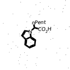 CCCCCC(C(=O)O)n1ccc2ccccc21